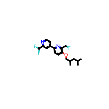 CC(C)CC(C)COc1ccc(-c2ccnc(C(F)F)c2)nc1CF